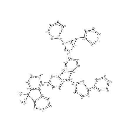 CC1(C)c2ccccc2-c2c(-c3ccc4c(c3)c3cc(C5=CC(c6ccccc6)N6C(c7ccccc7)N56)ccc3n4-c3cccc(-c4ccccc4)c3)cccc21